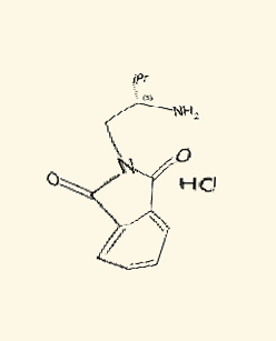 CC(C)[C@H](N)CN1C(=O)c2ccccc2C1=O.Cl